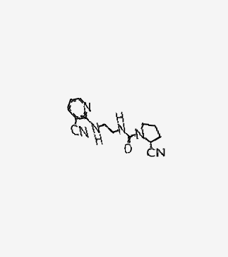 N#Cc1cccnc1NCCNC(=O)N1CCC[C@H]1C#N